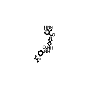 O=C(Nc1cccc(SC(F)(F)F)c1)NC1CC2(C1)CN(C(=O)c1ccnc3[nH]ncc13)C2